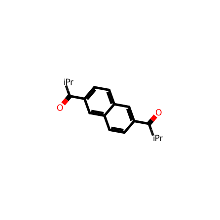 CC(C)C(=O)c1ccc2cc(C(=O)C(C)C)ccc2c1